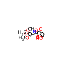 COc1cc(Cc2noc3c2C(=O)c2c(O)cccc2C3=O)cc(OC)c1OC